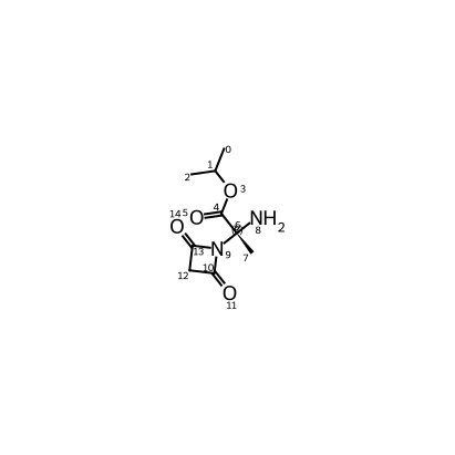 CC(C)OC(=O)[C@](C)(N)N1C(=O)CC1=O